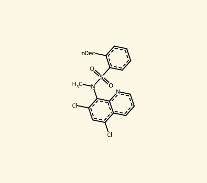 CCCCCCCCCCc1ccccc1S(=O)(=O)N(C)c1c(Cl)cc(Cl)c2cccnc12